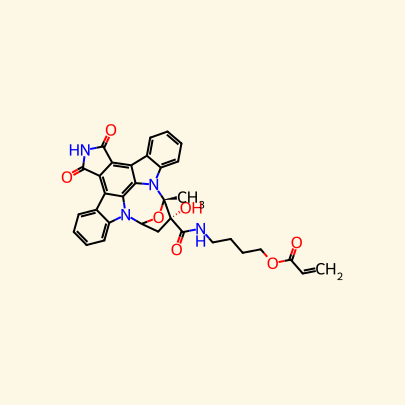 C=CC(=O)OCCCCNC(=O)[C@@]1(O)CC2O[C@]1(C)n1c3ccccc3c3c4c(c5c6ccccc6n2c5c31)C(=O)NC4=O